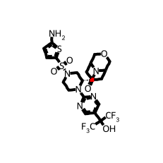 Nc1ccc(S(=O)(=O)N2CCN(c3ncc(C(O)(C(F)(F)F)C(F)(F)F)cn3)[C@@H](CN3C4COCC3CC(=O)C4)C2)s1